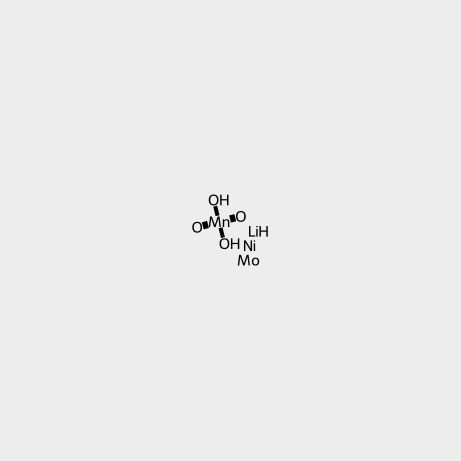 [LiH].[Mo].[Ni].[O]=[Mn](=[O])([OH])[OH]